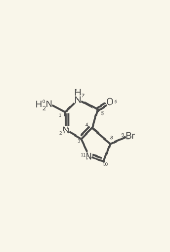 Nc1nc2c(c(=O)[nH]1)C(Br)C=N2